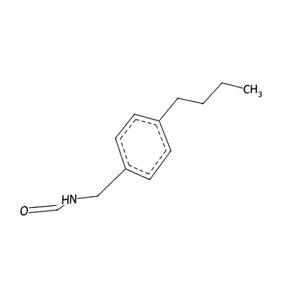 CCCCc1ccc(CNC=O)cc1